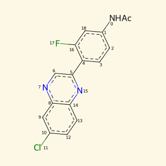 CC(=O)Nc1ccc(-c2cnc3cc(Cl)ccc3n2)c(F)c1